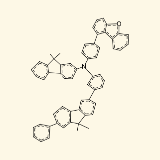 CC1(C)c2ccc(-c3cccc(N(c4ccc(-c5cccc6oc7ccccc7c56)cc4)c4ccc5c(c4)C(C)(C)c4ccccc4-5)c3)cc2-c2ccc(-c3ccccc3)cc21